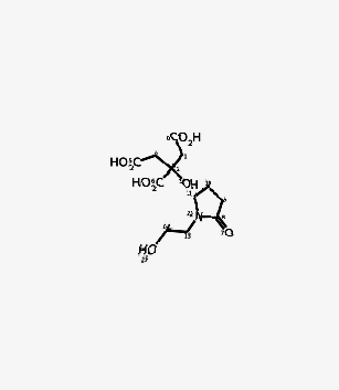 O=C(O)CC(O)(CC(=O)O)C(=O)O.O=C1CCCN1CCO